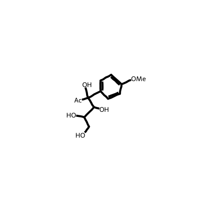 COc1ccc(C(O)(C(C)=O)C(O)C(O)CO)cc1